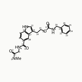 CNC(=O)CNC(=O)c1ccc2[nH]cc(CCOC(=O)NCc3ccccc3)c2c1